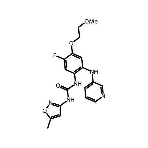 COCCOc1cc(Nc2cccnc2)c(NC(=O)Nc2cc(C)on2)cc1F